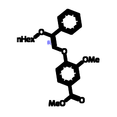 CCCCCCO/C(=C/Oc1ccc(C(=O)OC)cc1OC)c1ccccc1